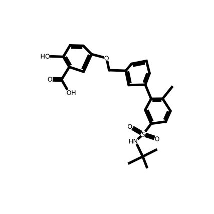 Cc1ccc(S(=O)(=O)NC(C)(C)C)cc1-c1cccc(COc2ccc(O)c(C(=O)O)c2)c1